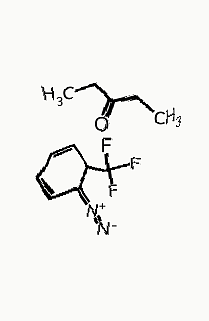 CCC(=O)CC.[N-]=[N+]=C1C=CC=CC1C(F)(F)F